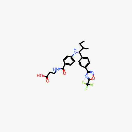 CCC(C)[C@H](Nc1ccc(C(=O)NCCC(=O)O)cc1)c1ccc(-c2noc(C(F)(F)F)n2)cc1